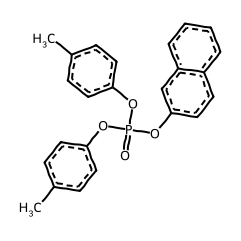 Cc1ccc(OP(=O)(Oc2ccc(C)cc2)Oc2ccc3ccccc3c2)cc1